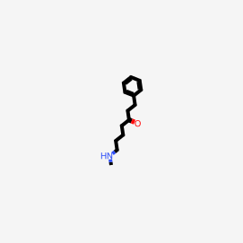 CNCCCCC(=O)CCc1ccccc1